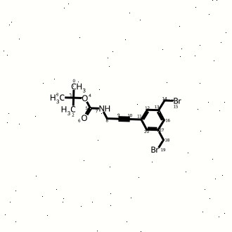 CC(C)(C)OC(=O)NCC#Cc1cc(CBr)cc(CBr)c1